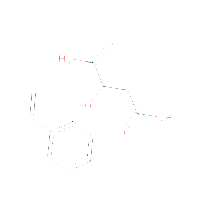 C=Cc1ccccc1.O=C(O)CC(O)C(=O)O